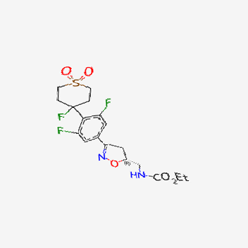 CCOC(=O)NC[C@H]1CC(c2cc(F)c(C3(F)CCS(=O)(=O)CC3)c(F)c2)=NO1